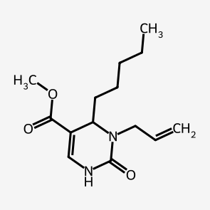 C=CCN1C(=O)NC=C(C(=O)OC)C1CCCCC